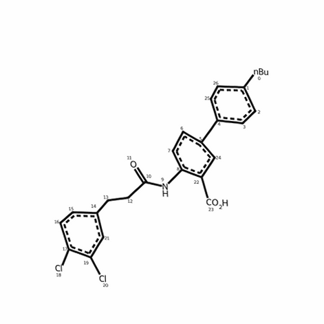 CCCCc1ccc(-c2ccc(NC(=O)CCc3ccc(Cl)c(Cl)c3)c(C(=O)O)c2)cc1